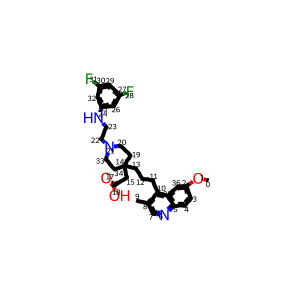 COc1ccc2ncc(C)c(CCCC3(CC(=O)O)CCN(CCNc4cc(F)cc(F)c4)CC3)c2c1